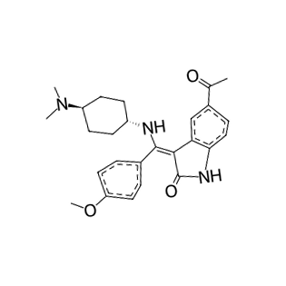 COc1ccc(C(N[C@H]2CC[C@H](N(C)C)CC2)=C2C(=O)Nc3ccc(C(C)=O)cc32)cc1